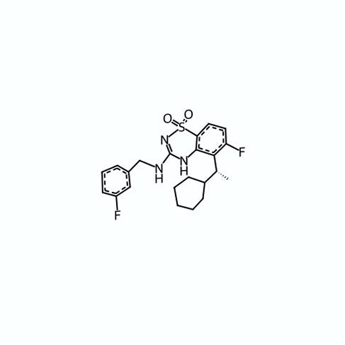 C[C@@H](c1c(F)ccc2c1NC(NCc1cccc(F)c1)=NS2(=O)=O)C1CCCCC1